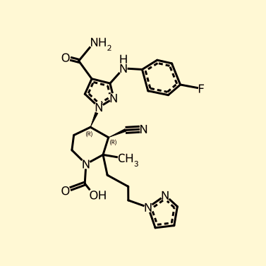 CC1(CCCn2cccn2)[C@H](C#N)[C@H](n2cc(C(N)=O)c(Nc3ccc(F)cc3)n2)CCN1C(=O)O